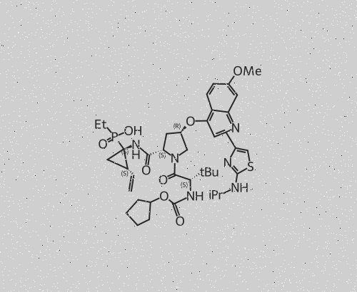 C=C[C@@H]1C[C@]1(NC(=O)[C@@H]1C[C@@H](Oc2cc(-c3csc(NC(C)C)n3)nc3cc(OC)ccc23)CN1C(=O)[C@@H](NC(=O)OC1CCCC1)C(C)(C)C)P(=O)(O)CC